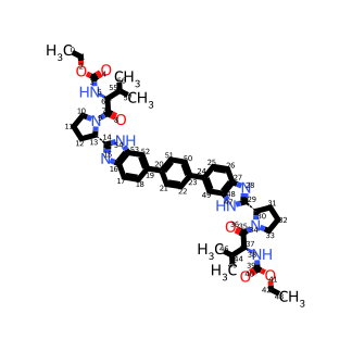 CCOC(=O)N[C@H](C(=O)N1CCC[C@H]1c1nc2ccc(-c3ccc(-c4ccc5nc([C@@H]6CCCN6C(=O)[C@@H](NC(=O)OCC)C(C)C)[nH]c5c4)cc3)cc2[nH]1)C(C)C